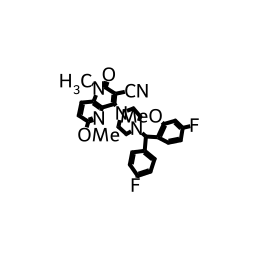 COc1ccc2c(n1)c(N1CCN(C(c3ccc(F)cc3)c3ccc(F)cc3OC)CC1)c(C#N)c(=O)n2C